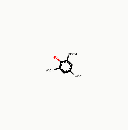 CCCCCc1cc(OC)cc(OC)c1O